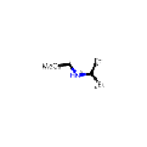 CCC(CC)NCOC